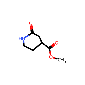 COC(=O)C1CCNC(=O)C1